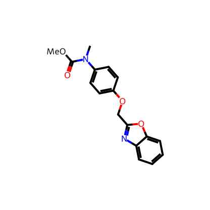 COC(=O)N(C)c1ccc(OCc2nc3ccccc3o2)cc1